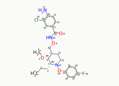 CCC[C@@H]1[C@H](OC)C(CONC(=O)c2ccc(N)c(Cl)c2)CCN1Oc1ccc(F)cc1